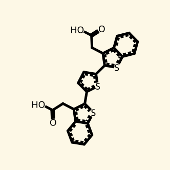 O=C(O)Cc1c(-c2ccc(-c3sc4ccccc4c3CC(=O)O)s2)sc2ccccc12